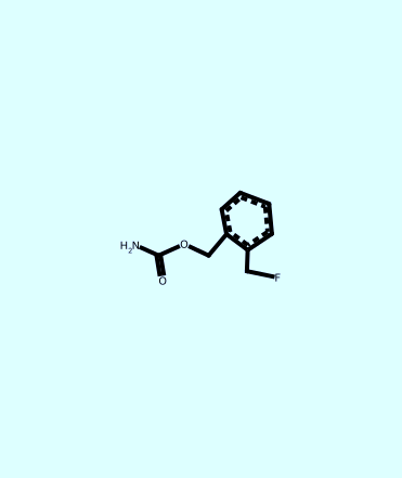 NC(=O)OCc1ccccc1CF